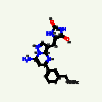 CC(=O)NCc1cccc(-c2cc(N)n3ncc(/C=C4\NC(=O)NC4=O)c3n2)c1